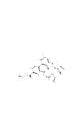 Cc1c(F)cc(C(=O)Nc2ccon2)cc1-c1ccc(C(=O)NCC(C)(C)C)cc1C(=O)Nc1nccs1